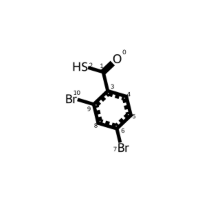 O=C(S)c1ccc(Br)cc1Br